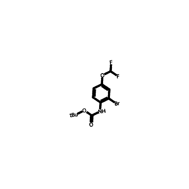 CC(C)(C)OC(=O)Nc1ccc(OC(F)F)cc1Br